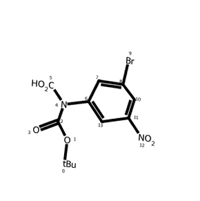 CC(C)(C)OC(=O)N(C(=O)O)c1cc(Br)cc([N+](=O)[O-])c1